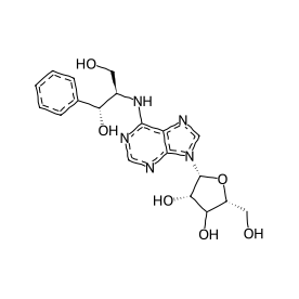 OC[C@H]1O[C@@H](n2cnc3c(N[C@H](CO)[C@H](O)c4ccccc4)ncnc32)[C@@H](O)C1O